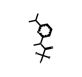 CC(C)c1cccc(N(C)C(=O)C(F)(F)F)n1